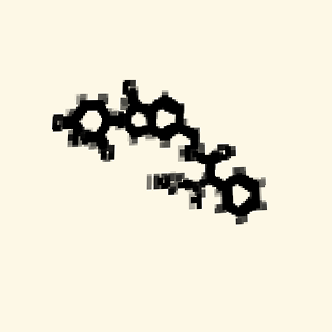 O=C(O)N[C@H](C(=O)NCc1ccc2c(c1)CN(C1CCC(=O)NC1=O)C2=O)c1ccccc1